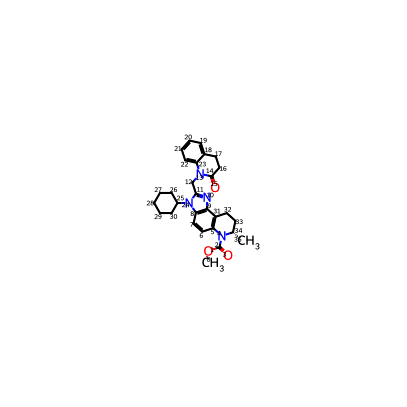 COC(=O)N1c2ccc3c(nc(CN4C(=O)CCc5ccccc54)n3C3CCCCC3)c2CC[C@@H]1C